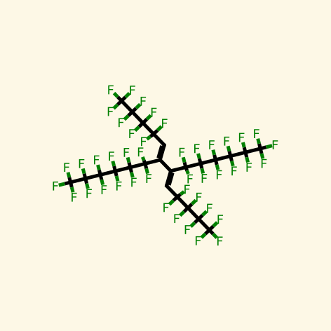 FC(F)(F)C(F)(F)C(F)(F)C(F)(F)/C=C(/C(=C/C(F)(F)C(F)(F)C(F)(F)C(F)(F)F)C(F)(F)C(F)(F)C(F)(F)C(F)(F)C(F)(F)C(F)(F)F)C(F)(F)C(F)(F)C(F)(F)C(F)(F)C(F)(F)C(F)(F)F